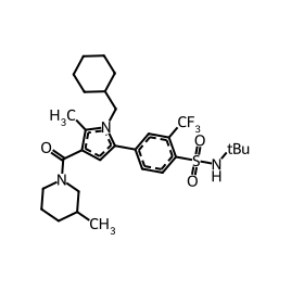 Cc1c(C(=O)N2CCCC(C)C2)cc(-c2ccc(S(=O)(=O)NC(C)(C)C)c(C(F)(F)F)c2)n1CC1CCCCC1